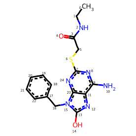 CCNC(=O)CSc1nc(N)c2nc(O)n(Cc3ccccc3)c2n1